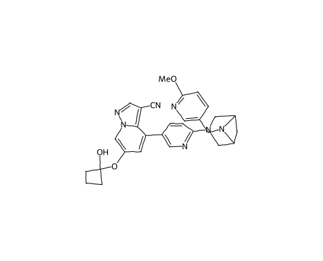 COc1ccc(CN2C3CC2CN(c2ccc(-c4cc(OC5(O)CCC5)cn5ncc(C#N)c45)cn2)C3)cn1